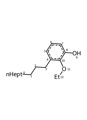 CCCCCCCCCCc1cccc(O)c1OCC